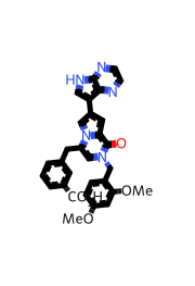 COc1ccc(Cn2cc(Cc3cccc(C(=O)O)c3)n3cc(-c4c[nH]c5nccnc45)cc3c2=O)c(OC)c1